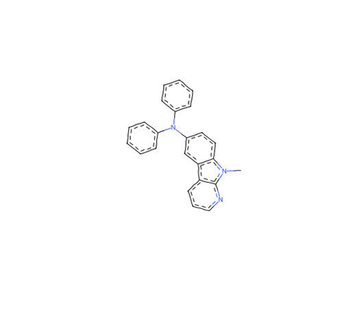 Cn1c2ccc(N(c3ccccc3)c3ccccc3)cc2c2cccnc21